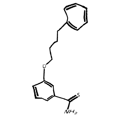 NC(=S)c1cccc(OCCCCc2ccccc2)c1